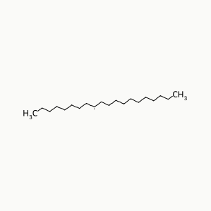 CCCCCCCC[CH]CCCCCCCCCCC